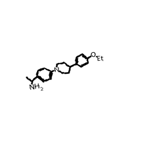 CCOc1ccc(C2CCN(c3ccc(C(C)N)cc3)CC2)cc1